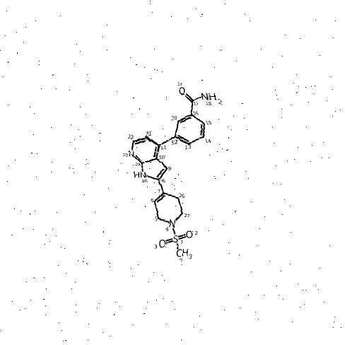 CS(=O)(=O)N1CC=C(c2cc3c(-c4cccc(C(N)=O)c4)ccnc3[nH]2)CC1